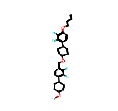 C=CCCOc1ccc(C2CCC(OCc3ccc(C4CCC(OCC)CC4)c(F)c3F)CC2)c(F)c1F